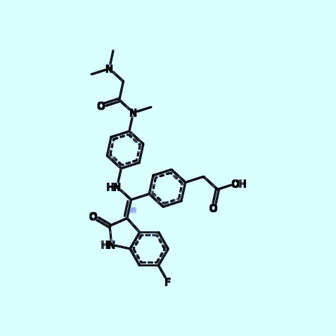 CN(C)CC(=O)N(C)c1ccc(N/C(=C2\C(=O)Nc3cc(F)ccc32)c2ccc(CC(=O)O)cc2)cc1